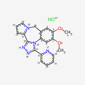 COc1cc2c(cc1OC)-n1c(-c3ccccn3)nnc1-c1cccn1C2.Cl